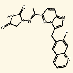 CC(=NN1CC(=O)NC1=O)c1ccc2ncc(Cc3cc4cccnc4cc3F)n2n1